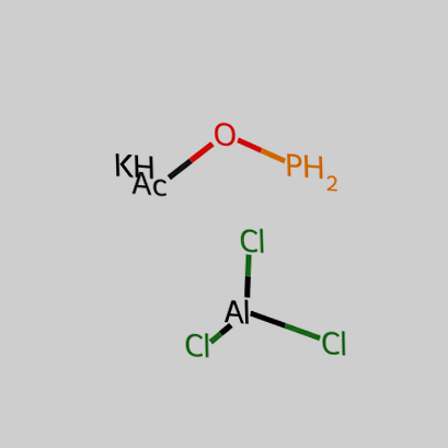 CC(=O)OP.[Cl][Al]([Cl])[Cl].[KH]